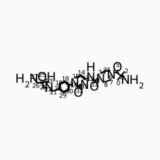 CC(C)(N)C(=O)N1CCN(C(=O)Nc2ccn(-c3ccc(CN4CC(O)(CN)C4)cc3)c(=O)n2)CC1